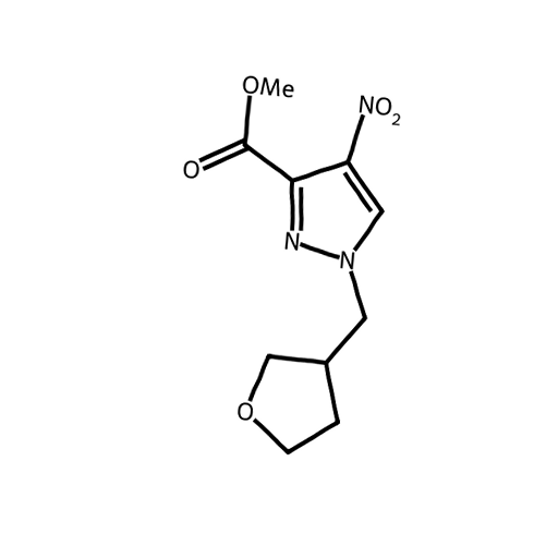 COC(=O)c1nn(CC2CCOC2)cc1[N+](=O)[O-]